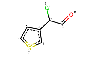 O=CC(Cl)c1ccsc1